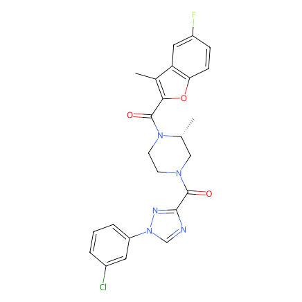 Cc1c(C(=O)N2CCN(C(=O)c3ncn(-c4cccc(Cl)c4)n3)C[C@H]2C)oc2ccc(F)cc12